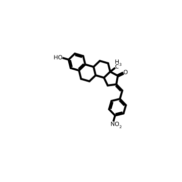 CC12CCC3c4ccc(O)cc4CCC3C1CC(=Cc1ccc([N+](=O)[O-])cc1)C2=O